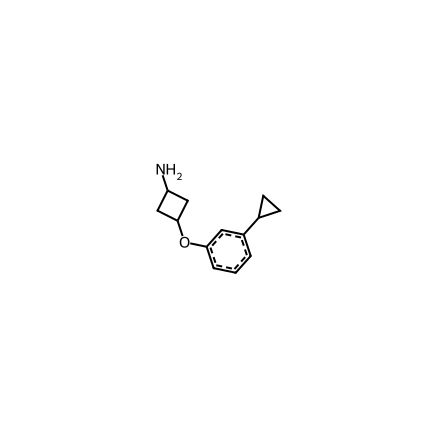 NC1CC(Oc2cccc(C3CC3)c2)C1